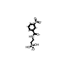 O=C(NCCP(=O)(O)O)c1[c]ccc([N+](=O)[O-])c1